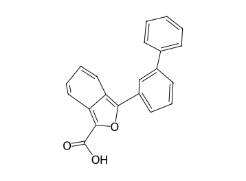 O=C(O)c1oc(-c2cccc(-c3ccccc3)c2)c2ccccc12